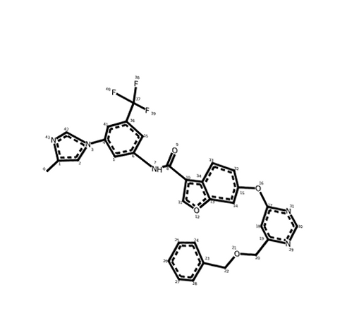 Cc1cn(-c2cc(NC(=O)c3coc4cc(Oc5cc(COCc6ccccc6)ncn5)ccc34)cc(C(F)(F)F)c2)cn1